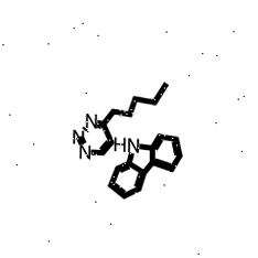 CCCCCc1ccnnn1.c1ccc2c(c1)[nH]c1ccccc12